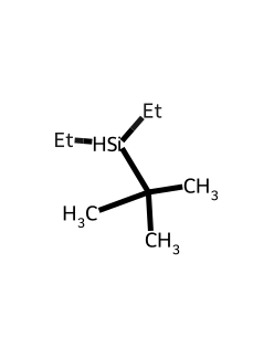 CC[SiH](CC)C(C)(C)C